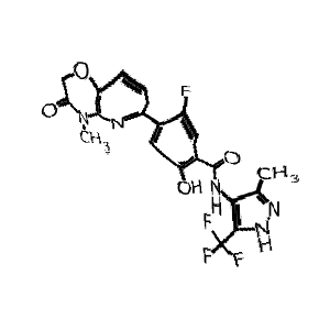 Cc1n[nH]c(C(F)(F)F)c1NC(=O)c1cc(F)c(-c2ccc3c(n2)N(C)C(=O)CO3)cc1O